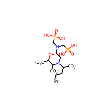 CC(C)CCC(C(=O)O)N(CCN(CP(=O)(O)O)CP(=O)(O)O)C(C(=O)O)C(O)C(=O)O